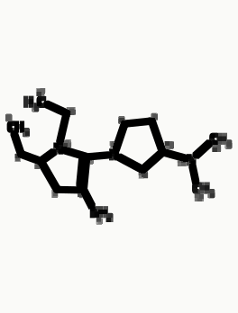 CCC1CC(N)=C(N2CCC(N(C)C)C2)N1CC